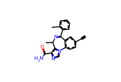 C#Cc1ccc2c(c1)C(c1ccccc1C)=NC(C)c1c(C(N)=O)ncn1-2